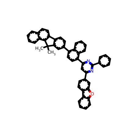 CC1(C)c2cc(-c3ccc(-c4cc(-c5ccc6c(c5)oc5ccccc56)nc(-c5ccccc5)n4)c4ccccc34)ccc2-c2ccc3ccccc3c21